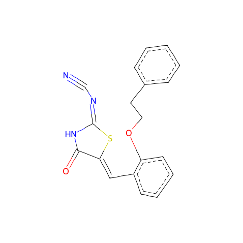 N#CN=C1NC(=O)C(=Cc2ccccc2OCCc2ccccc2)S1